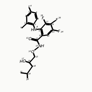 Cc1cc(I)ccc1Nc1c(C(=O)NOCC(O)CC(C)C)cc(F)c(F)c1F